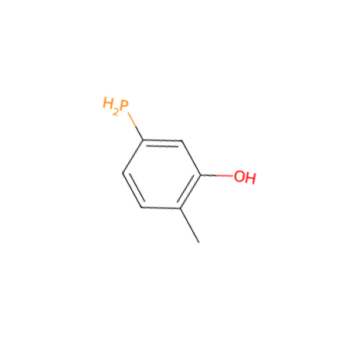 Cc1ccc(P)cc1O